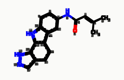 CC(C)=CC(=O)Nc1ccc2[nH]c3c(ccc4cn[nH]c43)c2c1